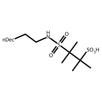 CCCCCCCCCCCCNS(=O)(=O)C(C)(C)C(C)(C)S(=O)(=O)O